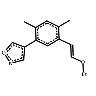 CCO/C=C/c1cc(-c2cnoc2)c(C)cc1C